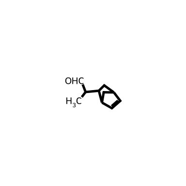 CC(C=O)C1CC2C=CC1C2